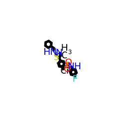 Cc1ccc(-c2sc(NCC3CCCCC3)nc2C)cc1S(=O)(=O)Nc1ccc(F)cc1